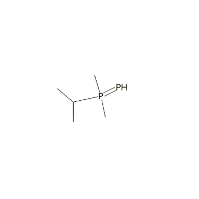 CC(C)P(C)(C)=P